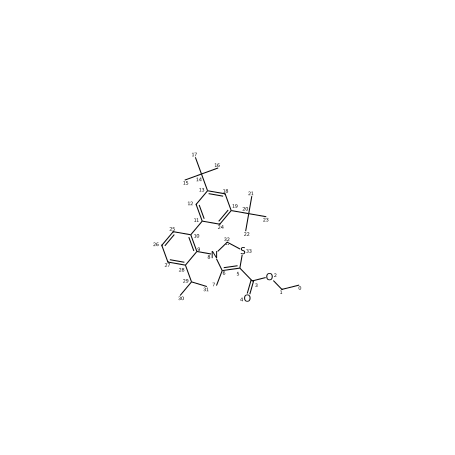 CCOC(=O)C1=C(C)N(c2c(-c3cc(C(C)(C)C)cc(C(C)(C)C)c3)cccc2C(C)C)[C]S1